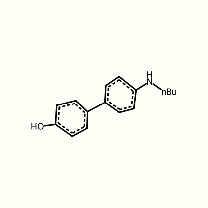 CCCCNc1ccc(-c2ccc(O)cc2)cc1